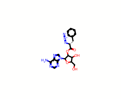 [N-]=[N+]=N[C@H](Cc1ccccc1)C(=O)OC1C(O)C(CO)OC1n1cnc2c(N)ncnc21